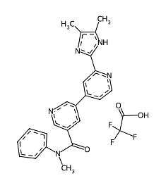 Cc1nc(-c2cc(-c3cncc(C(=O)N(C)c4ccccc4)c3)ccn2)[nH]c1C.O=C(O)C(F)(F)F